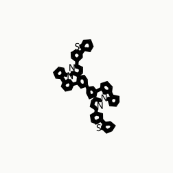 c1cc(-c2cccc(-c3cccc4c5ccccc5n(-c5cccc(-c6ccc7sc8ccccc8c7c6)n5)c34)c2)cc(-c2cccc3c4ccccc4n(-c4cccc(-c5ccc6sc7ccccc7c6c5)n4)c23)c1